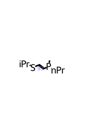 CCCP(C)/C=C/SC(C)C